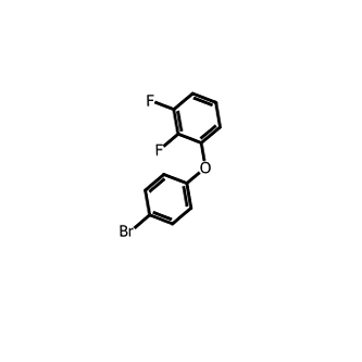 Fc1cccc(Oc2ccc(Br)cc2)c1F